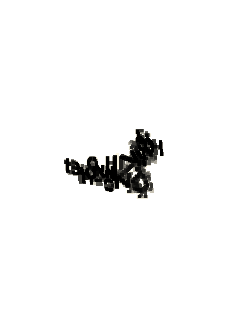 CCOCc1nc2c(NC(=O)C(CC(C)C)NC(=O)OC(C)(C)C)nc3ccccc3c2n1CC(C)(C)O